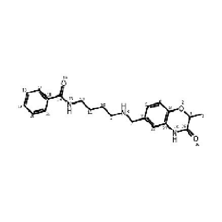 CC1Oc2ccc(CNCCCCNC(=O)c3ccccc3)cc2NC1=O